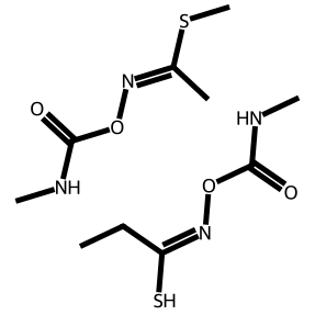 CC/C(S)=N\OC(=O)NC.CNC(=O)O/N=C(\C)SC